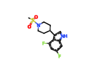 CS(=O)(=O)N1CCC(c2c[nH]c3cc(F)cc(F)c23)CC1